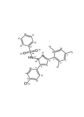 Cc1cc(C)c(-c2cc(-c3ccc(Cl)cc3)n(NS(=O)(=O)c3ccccc3)n2)c(C)c1